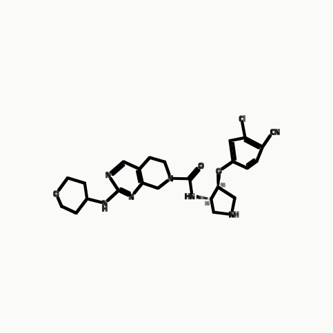 N#Cc1ccc(O[C@H]2CNC[C@@H]2NC(=O)N2CCc3cnc(NC4CCOCC4)nc3C2)cc1Cl